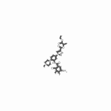 CCOC(=O)C(C)OC(=O)c1cn(-c2ccc(N3CCN(C)CC3)c(NC(=O)c3cc(N)c(F)c(C)c3Cl)c2)nn1